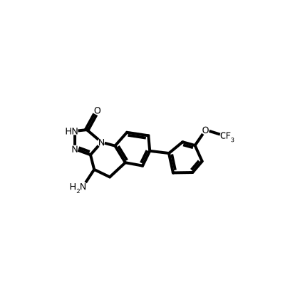 NC1Cc2cc(-c3cccc(OC(F)(F)F)c3)ccc2-n2c1n[nH]c2=O